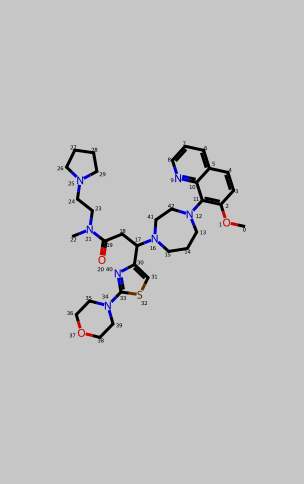 COc1ccc2cccnc2c1N1CCCN(C(CC(=O)N(C)CCN2CCCC2)c2csc(N3CCOCC3)n2)CC1